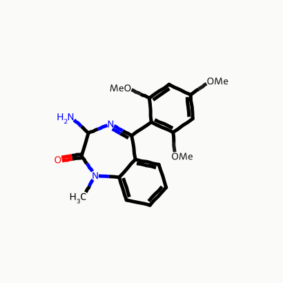 COc1cc(OC)c(C2=NC(N)C(=O)N(C)c3ccccc32)c(OC)c1